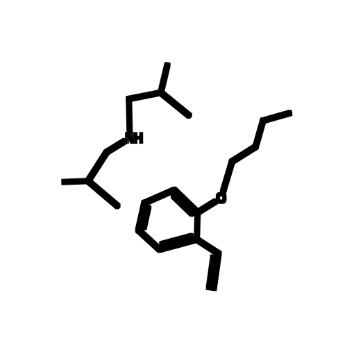 C=Cc1ccccc1OCCCC.CC(C)CNCC(C)C